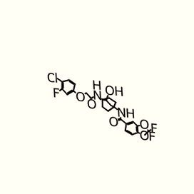 O=C(COc1ccc(Cl)c(F)c1)NC12CCC(NC(=O)c3ccc4c(c3)OC(F)(F)O4)(CC1)CC2O